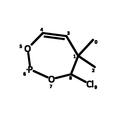 CC1(C)C=CO[P]OC1Cl